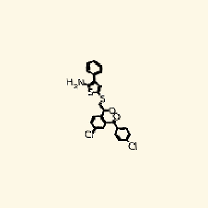 Nc1sc(SCC(=O)c2ccc(Cl)cc2C(=O)c2ccc(Cl)cc2)cc1-c1ccccc1